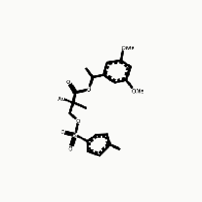 COc1cc(OC)cc(C(C)OC(=O)C(C)(COS(=O)(=O)c2ccc(C)cc2)C(C)=O)c1